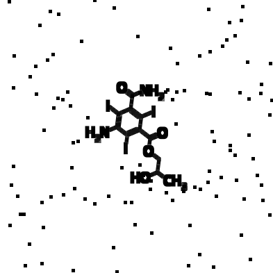 CC(O)COC(=O)c1c(I)c(N)c(I)c(C(N)=O)c1I